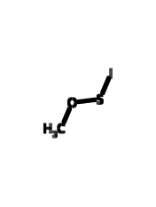 COSI